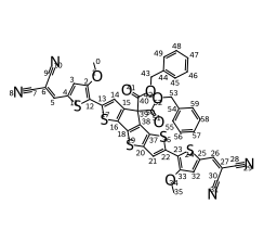 COc1cc(C=C(C#N)C#N)sc1-c1cc2c(s1)-c1sc3cc(-c4sc(C=C(C#N)C#N)cc4OC)sc3c1C2(C(=O)OCc1ccccc1)C(=O)OCc1ccccc1